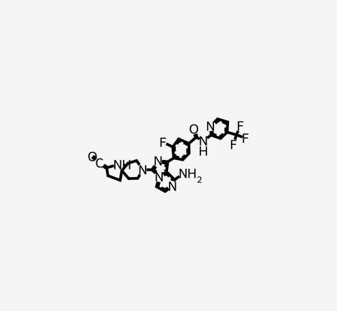 Nc1nccn2c(N3CCC4(CCC(=C=O)N4)CC3)nc(-c3ccc(C(=O)Nc4cc(C(F)(F)F)ccn4)cc3F)c12